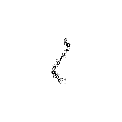 CCC(CO)COC(=O)Nc1cccc(OCC(=O)OCOC(=O)CCCCC(=O)OCOC(=O)COc2cccc(N=C=O)c2)c1